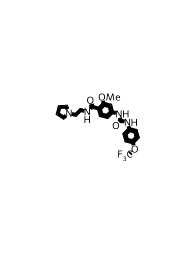 COc1cc(NC(=O)Nc2ccc(OC(F)(F)F)cc2)ccc1C(=O)NCCN1CCCC1